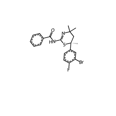 CC1(C)C[C@@](C)(c2ccc(F)c(Br)c2)SC(NC(=O)c2ccccc2)=N1